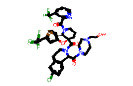 CCC[C@H]1N(C(=O)c2ncccc2C(F)(F)F)CCC[C@]1(Oc1csc(C(F)(F)F)c1)C(=O)N1CCc2cc(Cl)ccc2C1C(=O)N1CCN(CCO)CC1